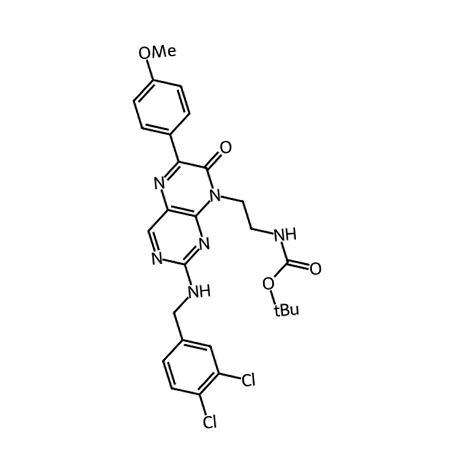 COc1ccc(-c2nc3cnc(NCc4ccc(Cl)c(Cl)c4)nc3n(CCNC(=O)OC(C)(C)C)c2=O)cc1